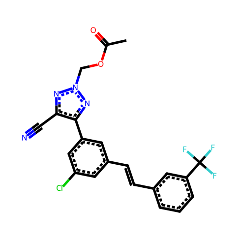 CC(=O)OCn1nc(C#N)c(-c2cc(Cl)cc(C=Cc3cccc(C(F)(F)F)c3)c2)n1